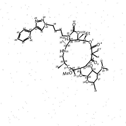 CC[C@H]1OC(=O)C(C)(F)C(=O)C[C@@H](O[C@@H]2OC(C)CC(N(C)C)C2O)[C@](C)(OC)C[C@@H](C)CN[C@H](C)[C@H]2N(CCCCn3cc(-c4ccccn4)nn3)C(=O)O[C@]12C